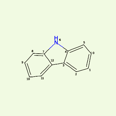 [c]1ccc2c(c1)[nH]c1ccccc12